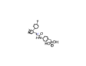 Cn1ncc(/C=C/C(=O)Nc2ccc(CP(=O)(O)O)cc2)c1-c1ccc(F)cc1